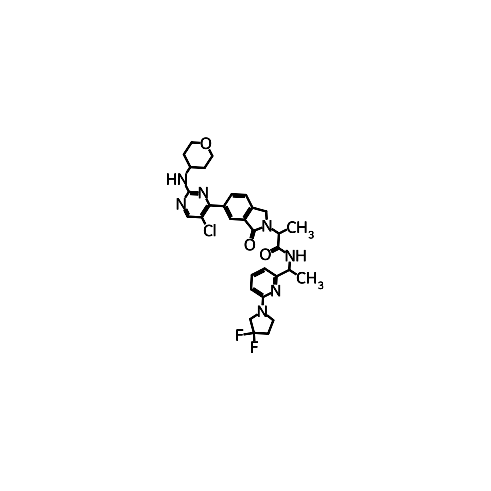 CC(NC(=O)C(C)N1Cc2ccc(-c3nc(NC4CCOCC4)ncc3Cl)cc2C1=O)c1cccc(N2CCC(F)(F)C2)n1